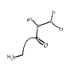 CCN(CC)N(CC)C(=O)CCN